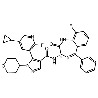 O=C(N[C@H]1N=C(c2ccccc2)c2cccc(F)c2NC1=O)c1cnn(C2CCOCC2)c1-c1cc(C2CC2)cnc1F